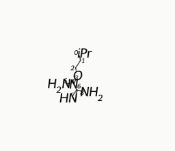 CC(C)CCON(N)C(=N)N